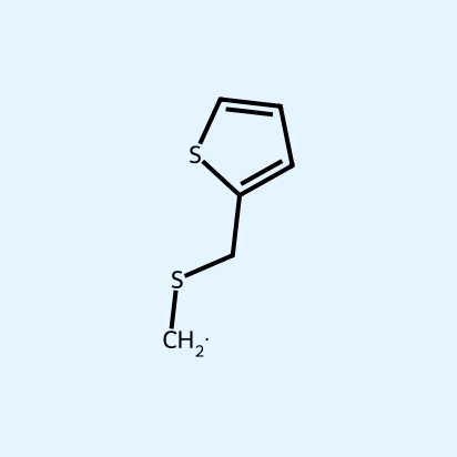 [CH2]SCc1cccs1